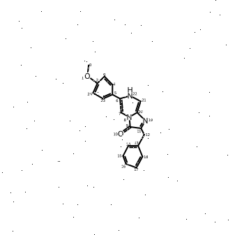 COc1ccc(-c2cn3c(=O)c(Cc4ccccc4)nc-3c[nH]2)cc1